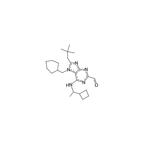 CC(Nc1nc(C=O)nc2nc(CC(C)(C)C)n(CC3CCCCC3)c12)C1CCC1